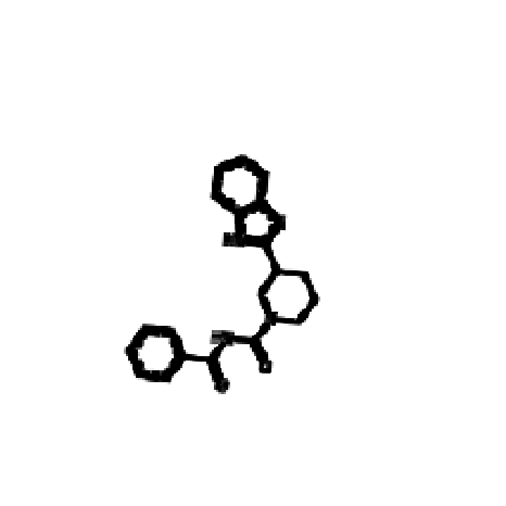 O=C(NC(=O)N1CCCC(c2nc3ccccc3[nH]2)C1)c1ccccc1